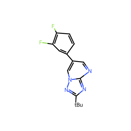 CC(C)(C)c1nc2ncc(-c3ccc(F)c(F)c3)cn2n1